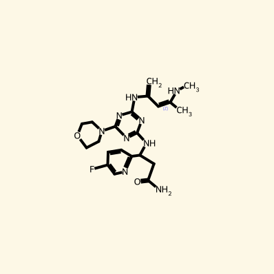 C=C(/C=C(/C)NC)Nc1nc(NC(CC(N)=O)c2ccc(F)cn2)nc(N2CCOCC2)n1